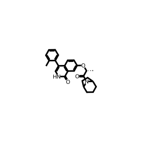 Cc1ccccc1-c1c[nH]c(=O)c2cc(O[C@H](C)C(=O)N3C4CCCC3CC4)ccc12